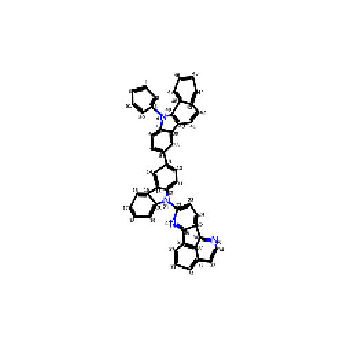 c1ccc(-n2c3ccc(-c4ccc5c(c4)c4ccccc4n5-c4ccc5c(n4)-c4cccc6ccnc-5c46)cc3c3ccc4ccccc4c32)cc1